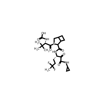 CC(F)(F)CC[C@H](NC(=O)C1C2CCC2CN1C(=O)[C@@H](NC(=O)O)C(C)(C)C)C(=O)C(=O)NC1CC1